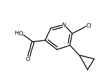 O=C(O)c1cnc(Cl)c(C2CC2)c1